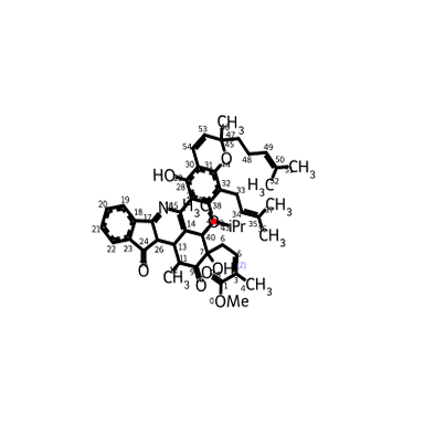 COC(=O)/C(C)=C\CC1(O)C(=O)C(C)C2C3=C(N=C4c5ccccc5C(=O)C42)c2c(O)c4c(c(CC=C(C)C)c2OC31C(C)C(C)C)OC(C)(CCC=C(C)C)C=C4